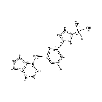 Cc1cc(Nc2ncnc3ccsc23)cc(-c2cnc(C(C)(O)C(F)(F)F)s2)c1